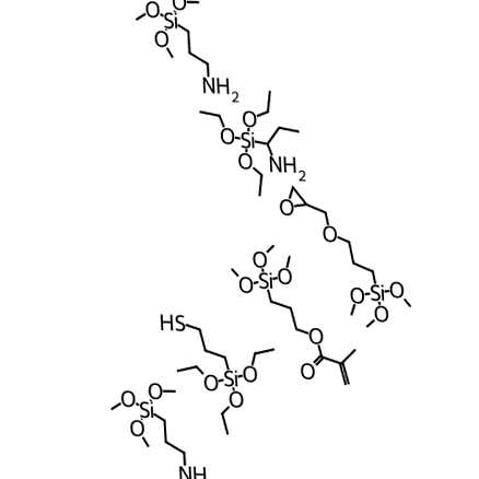 C=C(C)C(=O)OCCC[Si](OC)(OC)OC.CCO[Si](CCCS)(OCC)OCC.CCO[Si](OCC)(OCC)C(N)CC.CO[Si](CCCN)(OC)OC.CO[Si](CCCN)(OC)OC.CO[Si](CCCOCC1CO1)(OC)OC